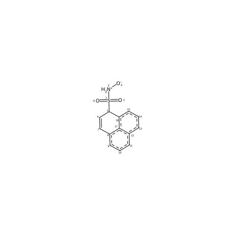 O=S(=O)([NH2+][O-])C1C=Cc2cccc3cccc1c23